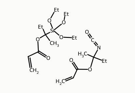 C=CC(=O)OC(C)(CC)N=C=O.C=CC(=O)OC(C)(CC)[Si](OCC)(OCC)OCC